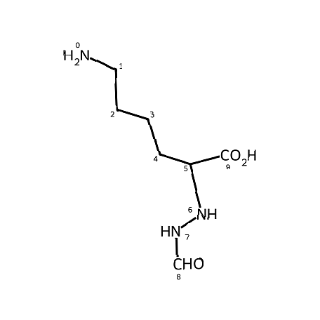 NCCCCC(NNC=O)C(=O)O